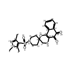 Cc1nn(C)c(C)c1S(=O)(=O)N1CCC2(CC1)CSC1=C(O2)c2ccccc2C(=O)C1=O